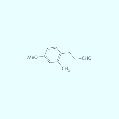 COc1ccc(CCC=O)c(C)c1